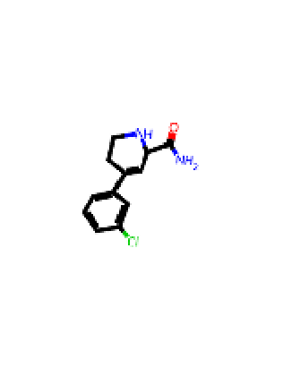 NC(=O)C1C=C(c2cccc(Cl)c2)CCN1